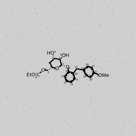 CCOC(=O)OC[C@@H]1C[C@H](O)[C@@H](O)[C@H](Oc2ccccc2Cc2ccc(OC)cc2)O1